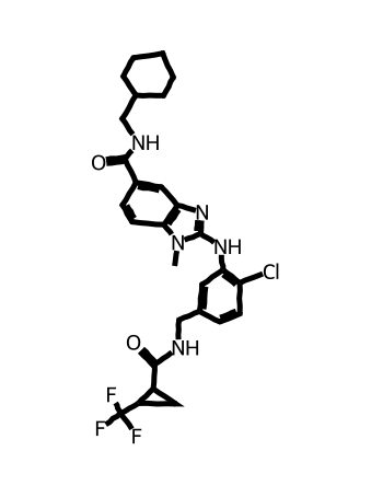 Cn1c(Nc2cc(CNC(=O)C3CC3C(F)(F)F)ccc2Cl)nc2cc(C(=O)NCC3CCCCC3)ccc21